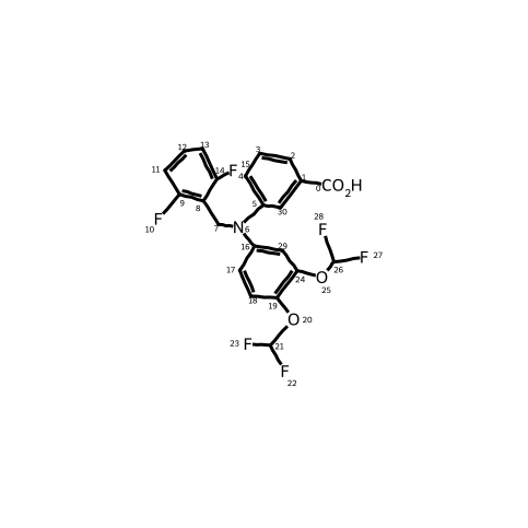 O=C(O)c1cccc(N(Cc2c(F)cccc2F)c2ccc(OC(F)F)c(OC(F)F)c2)c1